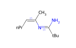 CCC/C=C(C)\N=C(/N)C(C)(C)C